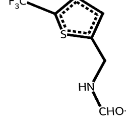 O=[C]NCc1ccc(C(F)(F)F)s1